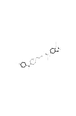 O=C(Nc1ccc2[nH]ncc2c1)OCCCN1CCC(C(=O)c2ccc(Br)cc2)CC1